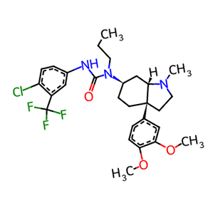 CCCN(C(=O)Nc1ccc(Cl)c(C(F)(F)F)c1)[C@@H]1CC[C@@]2(c3ccc(OC)c(OC)c3)CCN(C)[C@H]2C1